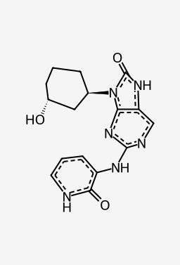 O=c1[nH]cccc1Nc1ncc2[nH]c(=O)n([C@@H]3CCC[C@@H](O)C3)c2n1